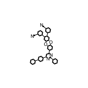 N#Cc1cccc(-c2cc3c(cc2-c2cccc(C#N)c2)Oc2cc(-c4cc(-c5ccc(-c6ccccc6)cc5)nc(-c5ccccc5)n4)ccc2O3)c1